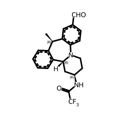 C[C@@H]1c2ccccc2[C@H]2C[C@H](NC(=O)C(F)(F)F)CCN2c2ccc(C=O)cc21